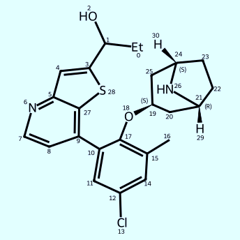 CCC(O)c1cc2nccc(-c3cc(Cl)cc(C)c3O[C@@H]3C[C@H]4CC[C@@H](C3)N4)c2s1